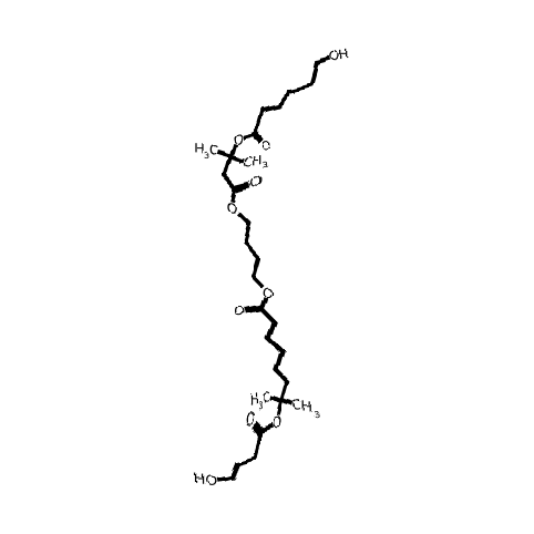 CC(C)(CCCCCC(=O)OCCCCOC(=O)CC(C)(C)OC(=O)CCCCCO)OC(=O)CCCO